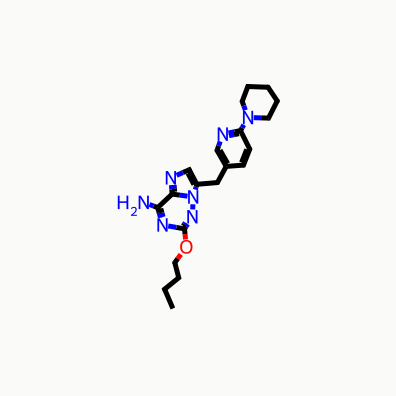 CCCCOc1nc(N)c2ncc(Cc3ccc(N4CCCCC4)nc3)n2n1